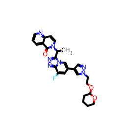 CC(c1nnc2c(F)cc(-c3cnn(CCOC4CCCCO4)c3)cn12)n1ccc2ncccc2c1=O